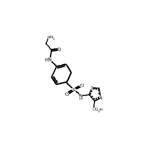 NCC(=O)NC1=CCC(S(=O)(=O)Nc2scnc2C(=O)O)C=C1